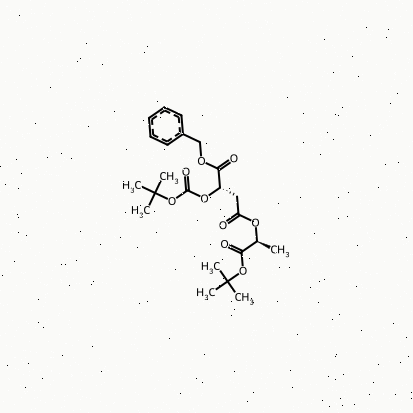 C[C@H](OC(=O)C[C@H](OC(=O)OC(C)(C)C)C(=O)OCc1ccccc1)C(=O)OC(C)(C)C